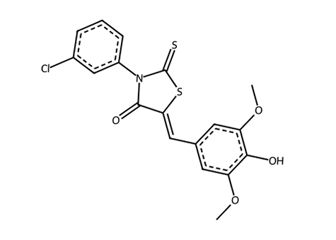 COc1cc(/C=C2\SC(=S)N(c3cccc(Cl)c3)C2=O)cc(OC)c1O